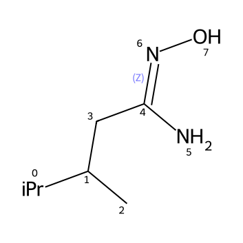 CC(C)C(C)C/C(N)=N/O